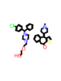 CN1CCC(=C2c3ccccc3CC(=O)c3sccc32)CC1.OCCOCCN1CCN(C(c2ccccc2)c2ccc(Cl)cc2)CC1